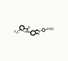 O=C[C@H]1C[C@H](n2cc3cc(NC(=O)c4cccc(C(F)(F)F)n4)ccc3n2)C1